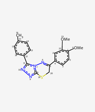 COc1ccc(C2=Nn3c(nnc3-c3ccc(C)cc3)SC2)cc1OC